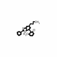 CCCCc1cc(-c2c(C)cccc2Cl)c2oc(-c3ccccc3)nc2c1